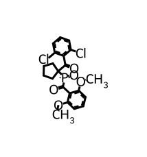 COc1cccc(OC)c1C(=O)[P](=O)C1(C(=O)c2c(Cl)cccc2Cl)CCCC1